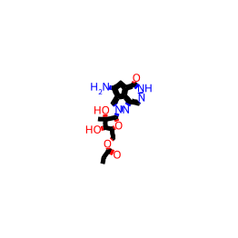 CCC(=O)OCC1OC(n2cc3c(N)cc4c(=O)[nH]ncc(n2)c34)C(C)(O)C1O